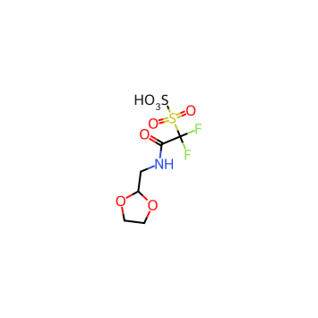 O=C(NCC1OCCO1)C(F)(F)S(=O)(=O)S(=O)(=O)O